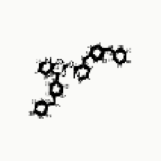 O=C(Oc1ncccc1Cc1ccc(Cc2ccccc2)cc1)Oc1ncccc1Cc1ccc(Cc2ccccc2)cc1